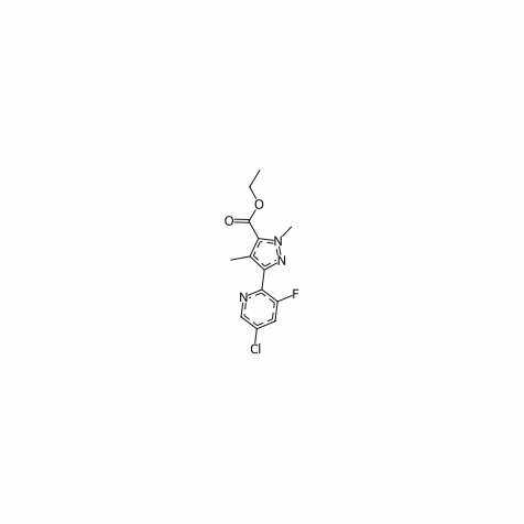 CCOC(=O)c1c(C)c(-c2ncc(Cl)cc2F)nn1C